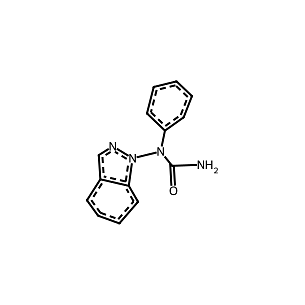 NC(=O)N(c1ccccc1)n1ncc2ccccc21